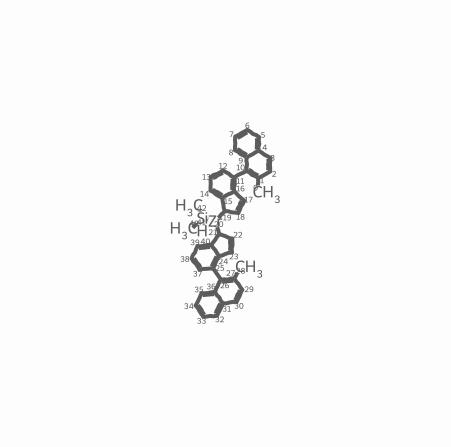 Cc1ccc2ccccc2c1-c1cccc2c1C=C[CH]2[Zr]([CH]1C=Cc2c(-c3c(C)ccc4ccccc34)cccc21)[SiH](C)C